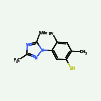 CNc1nc(C(F)(F)F)nn1-c1cc(S)c(C)cc1C(C)C